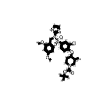 COc1ccc(CN(c2nccs2)S(=O)(=O)c2ccc(OC3CCN(C(=O)OC(C)(C)C)CC3C)c(Cl)c2)c(OC)c1